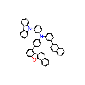 c1cc(-c2ccc3ccccc3c2)cc(N(c2ccc(-c3cccc4oc5c6ccccc6ccc5c34)cc2)c2cccc(-n3c4ccccc4c4ccccc43)c2)c1